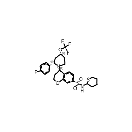 O=S(=O)(NC1CCCCS1)c1ccc2c(c1)OCC[C@H]2N1CC[C@@H](OC(F)(F)F)C[C@H]1c1ccc(F)cc1